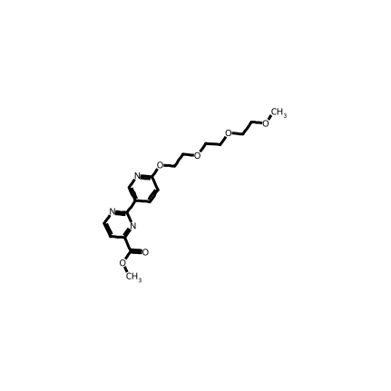 COCCOCCOCCOc1ccc(-c2nccc(C(=O)OC)n2)cn1